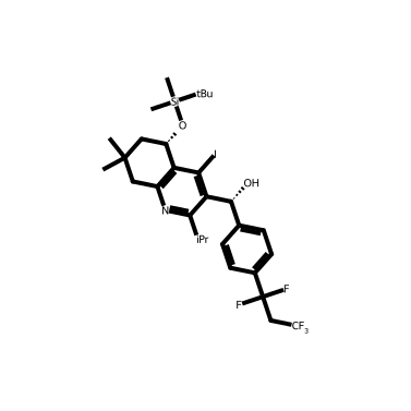 CC(C)c1nc2c(c(I)c1[C@H](O)c1ccc(C(F)(F)CC(F)(F)F)cc1)[C@@H](O[Si](C)(C)C(C)(C)C)CC(C)(C)C2